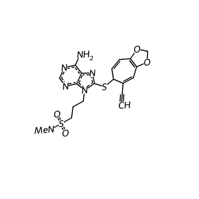 C#CC1=CC2=C(C=CC1Sc1nc3c(N)ncnc3n1CCCS(=O)(=O)NC)OCO2